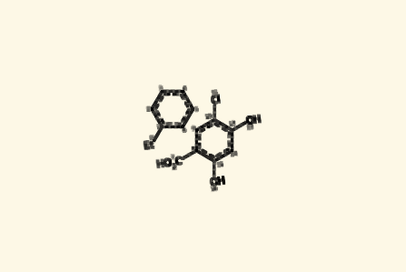 CCc1ccccc1.O=C(O)c1cc(Cl)c(O)cc1O